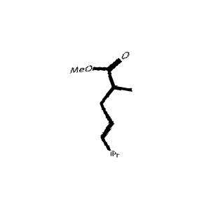 COC(=O)C(C)CCCC(C)C